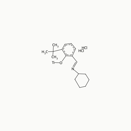 CC(C)(C)c1cccc(C=NC2CCCCC2)c1[O][Ti].Cl.Cl